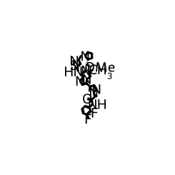 COC[C@H]1CCCN1Cc1cc(Nc2nc(C)cn3c(-c4cnn(CC(=O)Nc5cccc(F)c5F)c4)cnc23)sn1